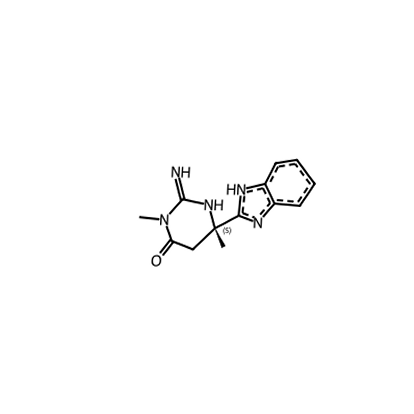 CN1C(=N)N[C@](C)(c2nc3ccccc3[nH]2)CC1=O